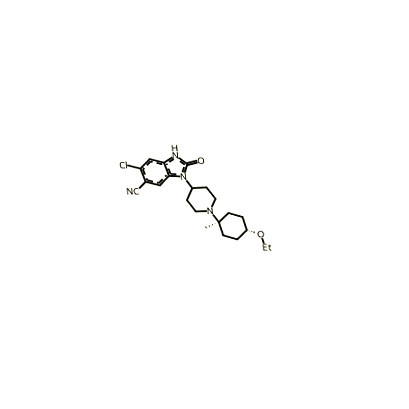 CCO[C@H]1CC[C@](C)(N2CCC(n3c(=O)[nH]c4cc(Cl)c(C#N)cc43)CC2)CC1